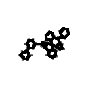 c1ccc(N2c3ccccc3C3(c4ccccc4-c4cc(-c5cccc(-c6ccccn6)c5)ccc43)c3ccccc32)cc1